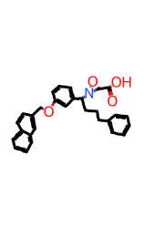 O=C(O)C1ON1C(CCCc1ccccc1)c1cccc(OCc2ccc3ccccc3c2)c1